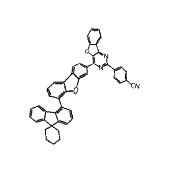 N#Cc1ccc(-c2nc(-c3ccc4c(c3)oc3c(-c5cccc6c5-c5ccccc5C65CCCCC5)cccc34)c3oc4ccccc4c3n2)cc1